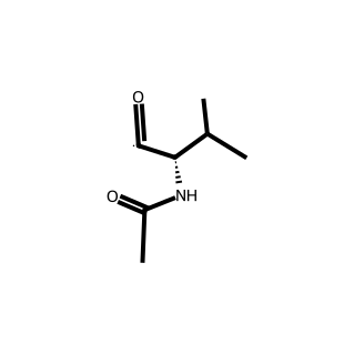 CC(=O)N[C@H]([C]=O)C(C)C